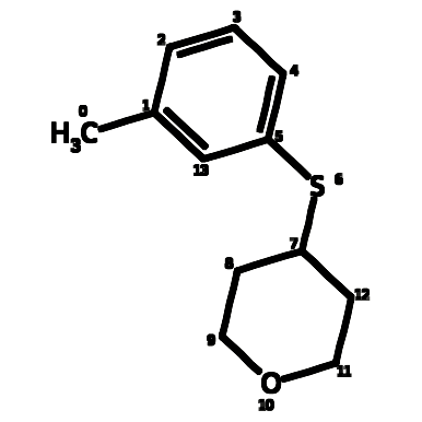 Cc1cccc(SC2CCOCC2)c1